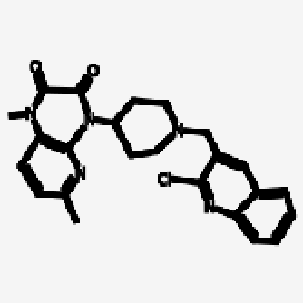 Cc1ccc2c(n1)n(C1CCN(Cc3cc4ccccc4nc3Cl)CC1)c(=O)c(=O)n2C